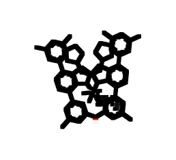 Cc1cc(C)cc(-c2ccc(-c3cc(C)cc(C)c3)c3c2C=C(CC2CCCC2)[CH]3[Zr]([CH3])([CH3])(=[SiH2])[CH]2C(CC3CCCC3)=Cc3c(-c4cc(C)cc(C)c4)ccc(-c4cc(C)cc(C)c4)c32)c1